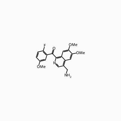 COc1ccc(F)c(C(=O)c2ncc(CN)c3cc(OC)c(OC)cc23)c1